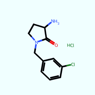 Cl.NC1CCN(Cc2cccc(Cl)c2)C1=O